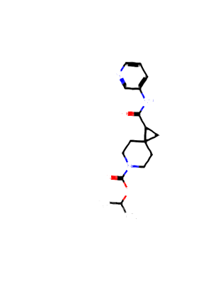 O=C(Nc1cccnc1)C1CC12CCN(C(=O)OC(C(F)(F)F)C(F)(F)F)CC2